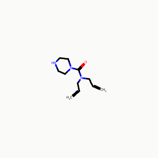 C=CCN(CC=C)C(=O)N1CCNCC1